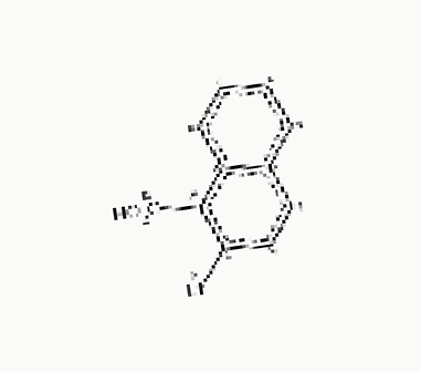 CCc1ccc2ccccc2c1C(=O)O